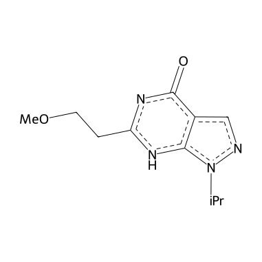 COCCc1nc(=O)c2cnn(C(C)C)c2[nH]1